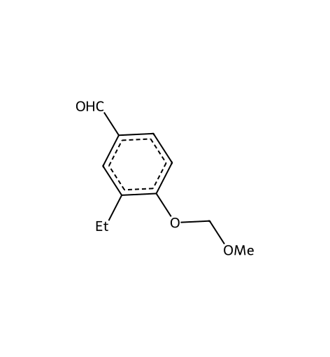 CCc1cc(C=O)ccc1OCOC